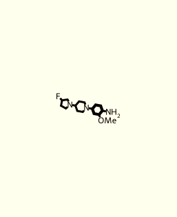 COc1cc(N2CCC(N3CCC(F)C3)CC2)ccc1N